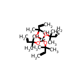 C=CC(C)(C)[O][Zr]([O]C(C)(C)C=C)([O]C(C)(C)C=C)[O]C(C)(C)C=C